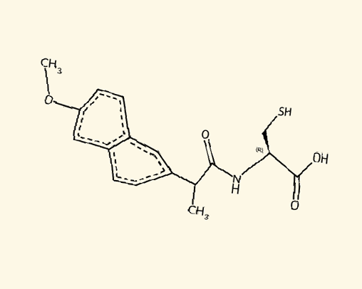 COc1ccc2cc(C(C)C(=O)N[C@@H](CS)C(=O)O)ccc2c1